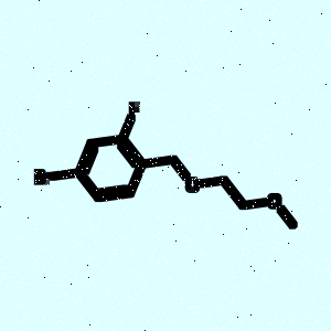 COCCOCc1ccc(Br)cc1F